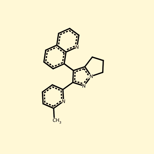 Cc1cccc(-c2nn3c(c2-c2cccc4cccnc24)CCC3)n1